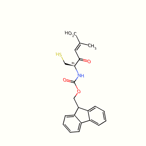 CC(=CC(=O)[C@H](CS)NC(=O)OCC1c2ccccc2-c2ccccc21)C(=O)O